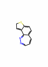 C1=Cc2ccc3c(c2=NN=C1)=CCS3